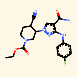 CCOC(=O)N1CCC(C#N)C(n2cc(C(N)=O)c(Nc3ccc(F)cc3)n2)C1